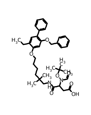 CCc1cc(-c2ccccc2)c(OCc2ccccc2)cc1OCCCCC(C)(C)CNC(=O)C(CC(=O)O)N(C=O)OC(C)(C)C